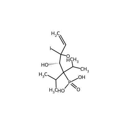 C=CC(O)(I)[C@@H](O)C(C(C)C)(C(C)C)P(=O)(O)O